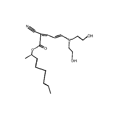 CCCCCCC(C)OC(=O)/C(C#N)=C\C=C\N(CCO)CCO